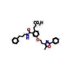 Cc1oc(-c2ccccc2)nc1CCOc1ccc(CCC(=O)O)c(C(=O)NCCCc2ccccc2)c1